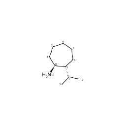 CC(I)[C@H]1CCCCC[C@@H]1N